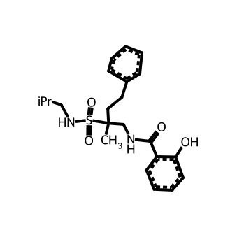 CC(C)CNS(=O)(=O)C(C)(CCc1ccccc1)CNC(=O)c1ccccc1O